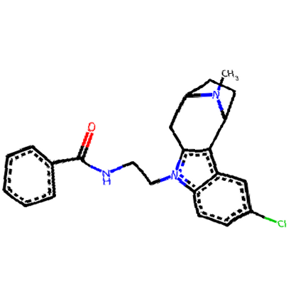 CN1C2CCC1c1c(n(CCNC(=O)c3ccccc3)c3ccc(Cl)cc13)C2